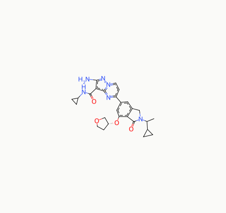 CC(C1CC1)N1Cc2cc(-c3ccn4nc(N)c(C(=O)NC5CC5)c4n3)cc(O[C@@H]3CCOC3)c2C1=O